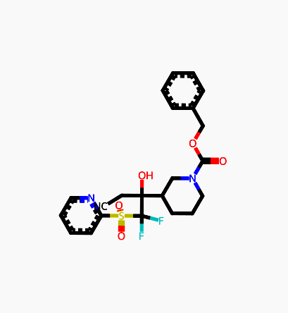 N#CCC(O)(C1CCCN(C(=O)OCc2ccccc2)C1)C(F)(F)S(=O)(=O)c1ccccn1